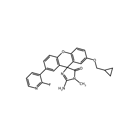 CN1C(=O)C2(N=C1N)c1cc(OCC3CC3)ccc1Oc1ccc(-c3cccnc3F)cc12